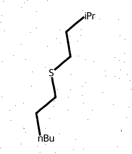 CCCCCCSCCC(C)C